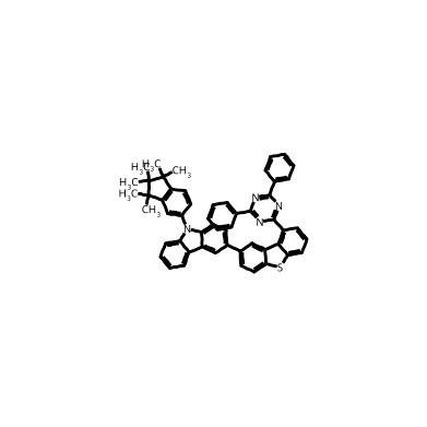 CC1(C)c2ccc(-n3c4ccccc4c4cc(-c5ccc6sc7cccc(-c8nc(-c9ccccc9)nc(-c9ccccc9)n8)c7c6c5)ccc43)cc2C(C)(C)C1(C)C